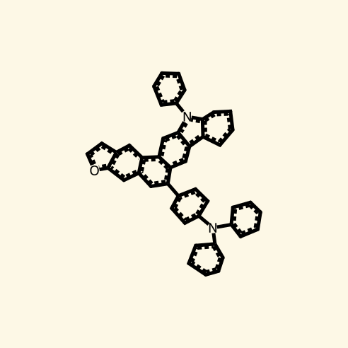 c1ccc(N(c2ccccc2)c2ccc(-c3cc4cc5occc5cc4c4cc5c(cc34)c3ccccc3n5-c3ccccc3)cc2)cc1